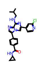 CC(C)CNc1nc(-c2ccnc(Cl)c2)cn2c(-c3ccc(C(=O)NC4CC4)cc3)cnc12